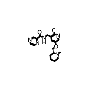 CN1CCCC[C@H]1COc1cnc(Cl)c(CNC(=O)c2cnccn2)c1